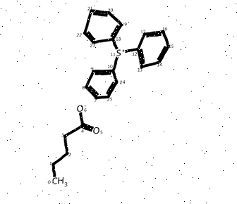 CCCCC(=O)[O-].c1ccc([S+](c2ccccc2)c2ccccc2)cc1